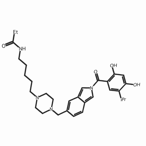 CCC(=O)NCCCCCN1CCN(Cc2ccc3cn(C(=O)c4cc(C(C)C)c(O)cc4O)cc3c2)CC1